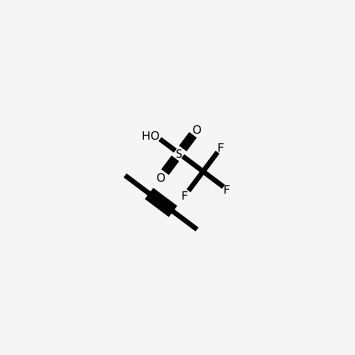 CC#CC.O=S(=O)(O)C(F)(F)F